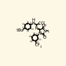 CN1C(=O)C(=NC(Nc2ccc(C(C)(C)C)cc2)C(Cl)(Cl)Cl)N(c2cccc(C(F)(F)F)c2)C1=O